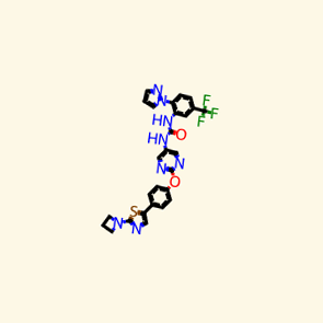 O=C(Nc1cnc(Oc2ccc(-c3cnc(N4CCC4)s3)cc2)nc1)Nc1cc(C(F)(F)F)ccc1-n1cccn1